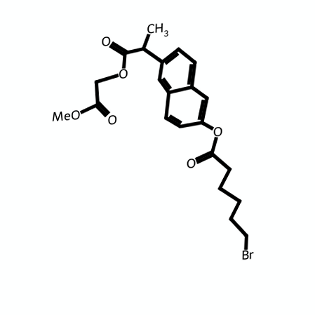 COC(=O)COC(=O)C(C)c1ccc2cc(OC(=O)CCCCCBr)ccc2c1